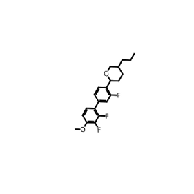 CCCC1CCC(c2ccc(-c3ccc(OC)c(F)c3F)cc2F)OC1